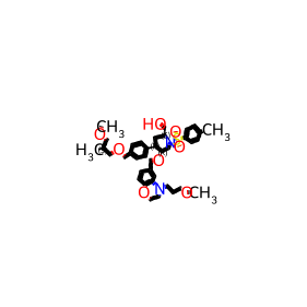 COCCCN1CCOc2ccc(CO[C@H]3CN(S(=O)(=O)c4ccc(C)cc4)[C@H](CO)C[C@@H]3c3ccc(COC[C@@H](C)COC)cc3)cc21